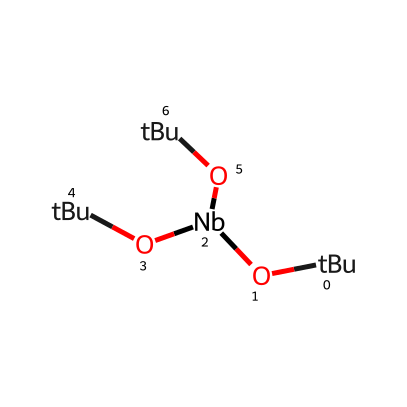 CC(C)(C)[O][Nb]([O]C(C)(C)C)[O]C(C)(C)C